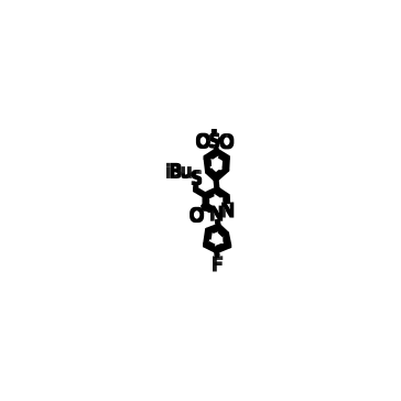 CCC(C)SCc1c(-c2ccc(S(C)(=O)=O)cc2)cnn(-c2ccc(F)cc2)c1=O